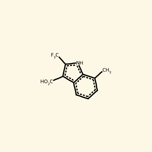 Cc1cccc2c(C(=O)O)c(C(F)(F)F)[nH]c12